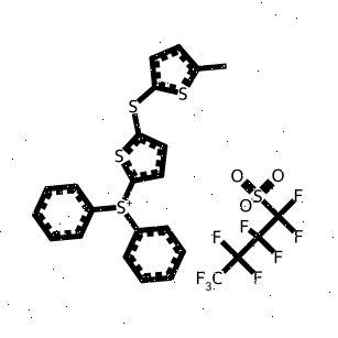 Cc1ccc(Sc2ccc([S+](c3ccccc3)c3ccccc3)s2)s1.O=S(=O)([O-])C(F)(F)C(F)(F)C(F)(F)C(F)(F)F